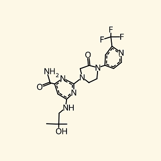 CC(C)(O)CNc1cc(C(N)=O)nc(N2CCN(c3ccnc(C(F)(F)F)c3)C(=O)C2)n1